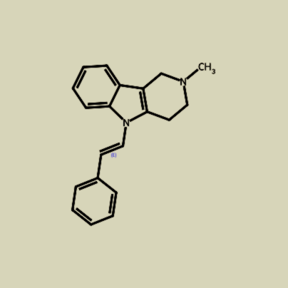 CN1CCc2c(c3ccccc3n2/C=C/c2ccccc2)C1